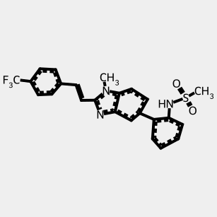 Cn1c(C=Cc2ccc(C(F)(F)F)cc2)nc2cc(-c3ccccc3NS(C)(=O)=O)ccc21